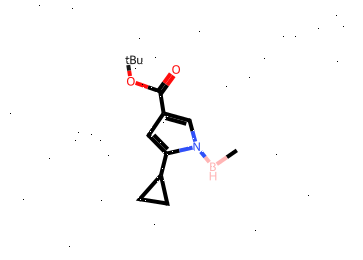 CBn1cc(C(=O)OC(C)(C)C)cc1C1CC1